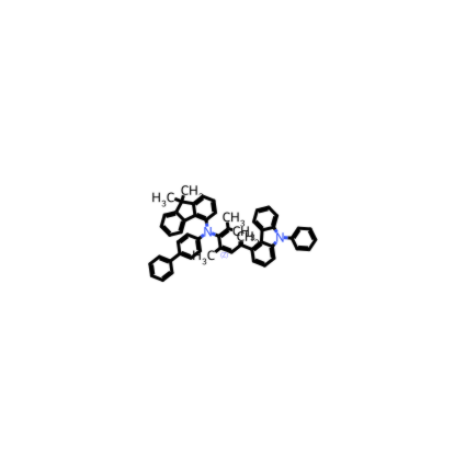 C=C(/C=C(/C)C(=C(C)C)N(c1ccc(-c2ccccc2)cc1)c1cccc2c1-c1ccccc1C2(C)C)c1cccc2c1c1ccccc1n2-c1ccccc1